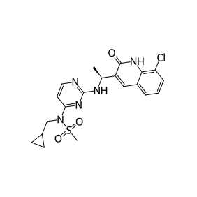 C[C@H](Nc1nccc(N(CC2CC2)S(C)(=O)=O)n1)c1cc2cccc(Cl)c2[nH]c1=O